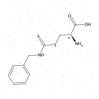 N[C@@H](CSC(=S)NCc1ccccc1)C(=O)O